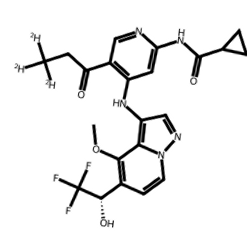 [2H]C([2H])([2H])CC(=O)c1cnc(NC(=O)C2CC2)cc1Nc1cnn2ccc([C@H](O)C(F)(F)F)c(OC)c12